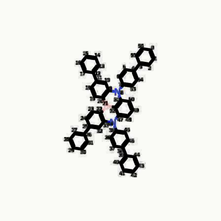 c1ccc(-c2ccc(N3c4cc(-c5ccccc5)ccc4B4c5ccc(-c6ccccc6)cc5N(c5ccc(-c6ccccc6)cc5)c5cccc3c54)cc2)cc1